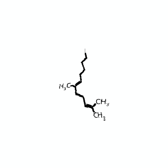 CC(C)=CCCC(C)=CCCCCI